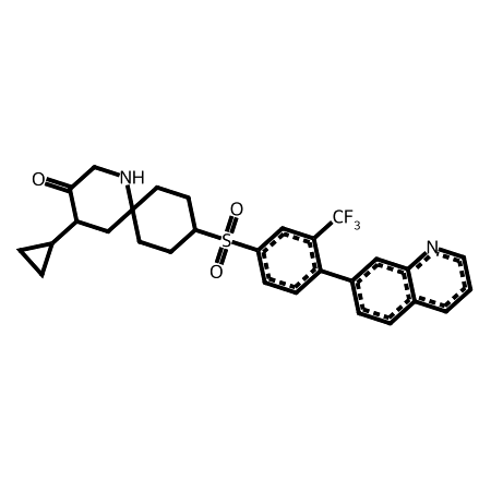 O=C1CNC2(CCC(S(=O)(=O)c3ccc(-c4ccc5cccnc5c4)c(C(F)(F)F)c3)CC2)CC1C1CC1